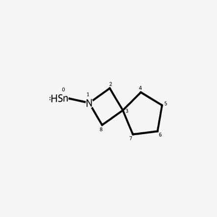 [SnH][N]1CC2(CCCC2)C1